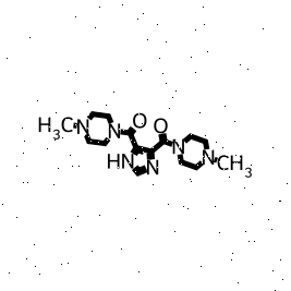 CN1CCN(C(=O)c2nc[nH]c2C(=O)N2CCN(C)CC2)CC1